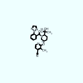 Cc1c(C#N)ccnc1O[C@@H]1CCC(C(C)(C)O)N(C(=O)c2ccccc2-n2nccn2)C1